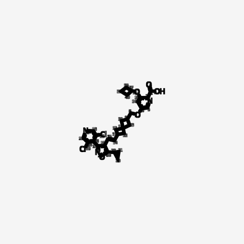 O=C(O)c1ncc(OCC2CC3(CC(C=Cc4c(-c5c(Cl)cncc5Cl)noc4C4CC4)C3)C2)cc1OC1CCC1